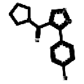 O=C(c1cnoc1-c1ccc(Br)cc1)N1CCCC1